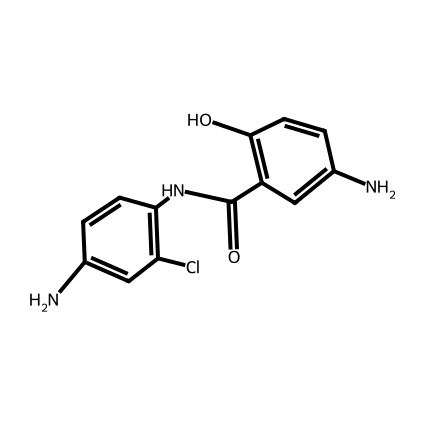 Nc1ccc(NC(=O)c2cc(N)ccc2O)c(Cl)c1